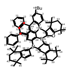 CC(C)(C)c1ccc(N2c3cc(N(c4ccccc4)c4ccccc4)cc4c3B(c3cc5c(cc3N4c3ccc4c(c3)C(C)(C)CCC4(C)C)C(C)(C)CCC5(C)C)c3oc4c(c32)C(C)(C)CCC4(C)C)c(-c2ccccc2)c1